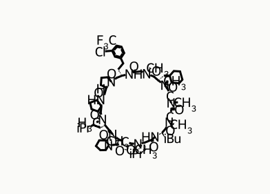 CC[C@H](C)[C@@H]1NC(=O)[C@H](CC(C)C)N(C)C(=O)C[C@@H](C(=O)N2CCCCC2)N(C)C(=O)[C@H](CCC(C)C)N(C)C(=O)C2(CCCC2)NC(=O)[C@@H]2CCCN2C(=O)[C@H](CCc2ccc(C(F)(F)F)c(Cl)c2)NC(=O)CN(C)C(=O)[C@H](CC2CCCCC2)N(C)C(=O)CN(C)C(=O)CN(C)C1=O